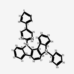 c1ccc(-c2cnc(-n3c4ccccc4c4ccc5c(c6ccccc6n5-c5ccccc5)c43)nc2)cc1